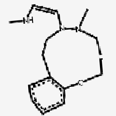 CN/C=C\N1CCc2ccccc2CCCCN1C